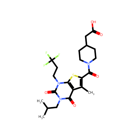 Cc1c(C(=O)N2CCC(CC(=O)O)CC2)sc2c1c(=O)n(CC(C)C)c(=O)n2CCC(F)(F)F